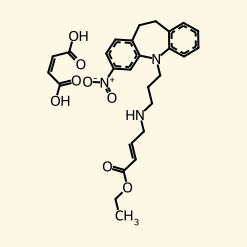 CCOC(=O)/C=C/CNCCCN1c2ccccc2CCc2ccc([N+](=O)[O-])cc21.O=C(O)/C=C\C(=O)O